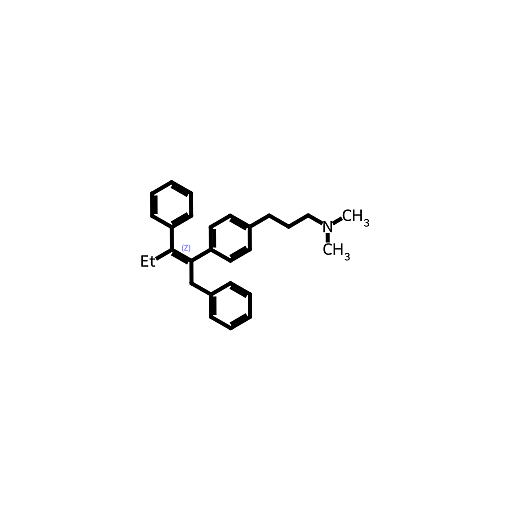 CC/C(=C(\Cc1ccccc1)c1ccc(CCCN(C)C)cc1)c1ccccc1